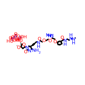 CNNCCNC(=O)c1cccc(OCC(N=[N+]=[N-])OCCOCC(=O)NCC#Cc2cn(C3CC(OC)[C@H](COP(=O)(O)OP(=O)(O)OP(=O)(O)O)O3)c(=O)nc2N)c1